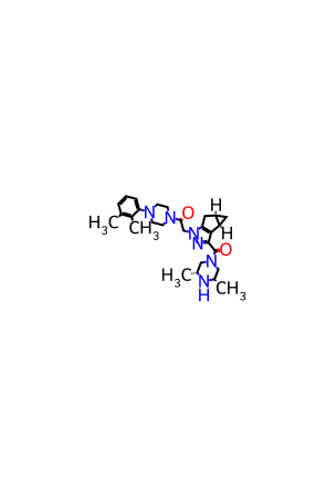 Cc1cccc(N2CCN(C(=O)Cn3nc(C(=O)N4C[C@@H](C)N[C@@H](C)C4)c4c3C[C@H]3C[C@@H]43)CC2)c1C